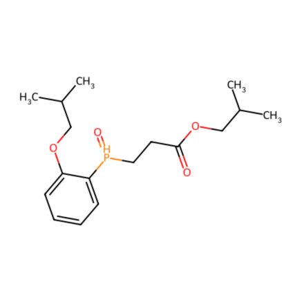 CC(C)COC(=O)CC[PH](=O)c1ccccc1OCC(C)C